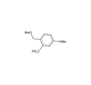 COCc1ccc(OC)cc1C(=O)O